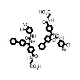 N#Cc1ccc(NC(=O)NC(c2ccc(C(=O)NCCC(=O)O)cc2)c2ccc(C3=CCCCC3)cc2)cc1Cl.O=C(O)CCNC(=O)c1ccc(C(NC(=O)Nc2ccc(Br)c(Cl)c2)c2ccc(C3CCCCC3)cc2)cc1